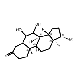 CC[C@H]1CC[C@H]2[C@@H]3C(O)C(O)C4CC(=O)CC[C@]4(C)[C@H]3CC[C@]12C